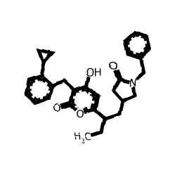 CCC(CC1CC(=O)N(Cc2ccccc2)C1)c1cc(O)c(Cc2ccccc2C2CC2)c(=O)o1